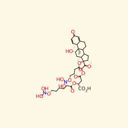 C[C@H]1CC2C3CCC4=CC(=O)C=C[C@]4(C)[C@@]3(F)[C@@H](O)C[C@]2(C)[C@@]1(OC(=O)CCCON(O)O)C(=O)COC(=O)CC(OC(=O)CCCCCON(O)O)C(=O)O